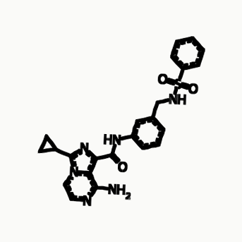 Nc1nccn2c(C3CC3)nc(C(=O)Nc3cccc(CNS(=O)(=O)c4ccccc4)c3)c12